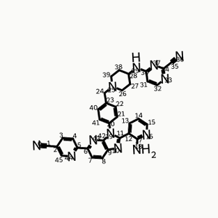 N#Cc1ccc(-c2ccc3nc(-c4cccnc4N)n(-c4ccc(CN5CCC(Nc6ccnc(C#N)n6)CC5)cc4)c3n2)nc1